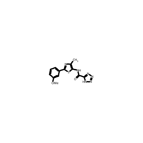 COc1cccc(-c2nc(C)c(NC(=O)c3nnn[nH]3)s2)c1